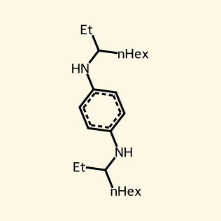 CCCCCCC(CC)Nc1ccc(NC(CC)CCCCCC)cc1